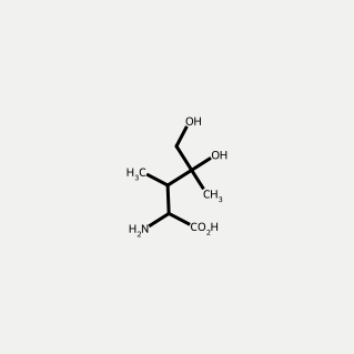 CC(C(N)C(=O)O)C(C)(O)CO